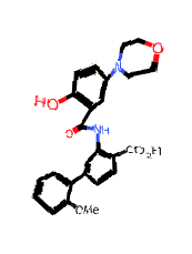 COc1ccccc1-c1ccc(C(=O)O)c(NC(=O)c2cc(N3CCOCC3)ccc2O)c1